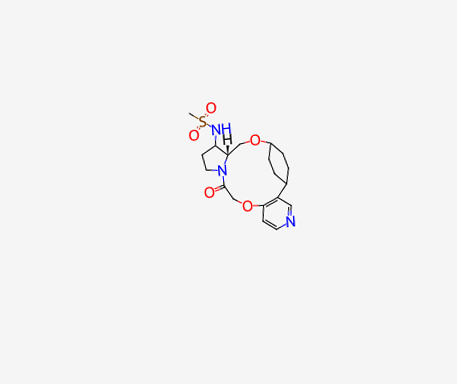 CS(=O)(=O)NC1CCN2C(=O)COc3ccncc3C3CCC(CC3)OC[C@@H]12